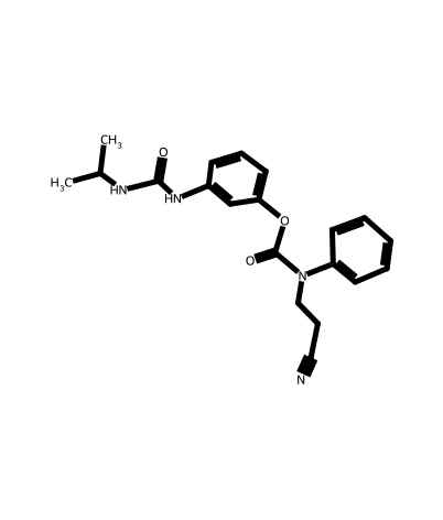 CC(C)NC(=O)Nc1cccc(OC(=O)N(CCC#N)c2ccccc2)c1